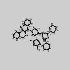 Cc1ccc(-c2ccccc2-c2nc(-c3ccccc3)nc(-c3ccc(-c4c5ccccc5nc5c4ccc4ccccc45)cc3)n2)c(C)n1